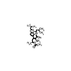 CC(=O)OC(C)CC(c1ccc(OC(=O)CC(C)C)c(OC(=O)CC(C)C)c1)[C@H](N)C(=O)O